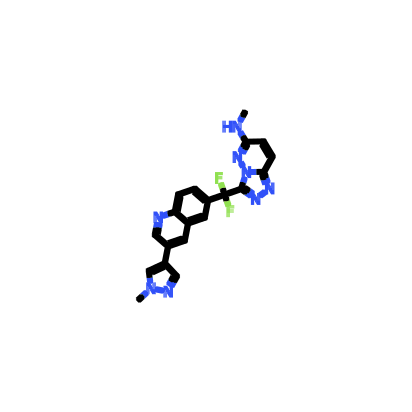 CNc1ccc2nnc(C(F)(F)c3ccc4ncc(-c5cnn(C)c5)cc4c3)n2n1